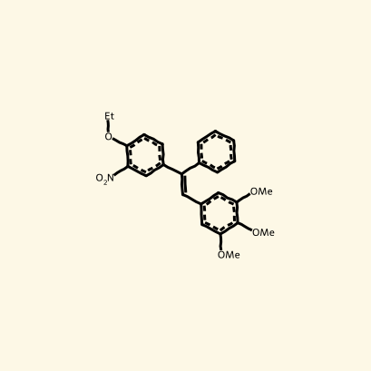 CCOc1ccc(C(=Cc2cc(OC)c(OC)c(OC)c2)c2ccccc2)cc1[N+](=O)[O-]